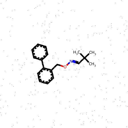 CC(C)(C)/[C]=N/OCc1ccccc1-c1ccccc1